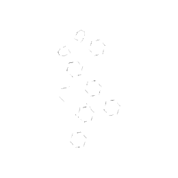 C1=CCC(c2nc(-c3ccccc3)cc(-c3ccccc3-c3ccc(-c4cccc5c4Oc4ccccc4C54c5ccccc5-c5ccccc54)cc3)n2)C=C1